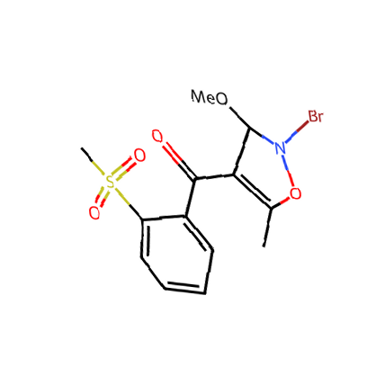 COC1C(C(=O)c2ccccc2S(C)(=O)=O)=C(C)ON1Br